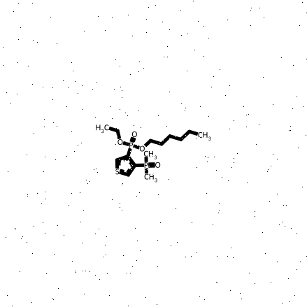 CCCCCCOP(=O)(OCC)c1cscc1P(C)(C)=O